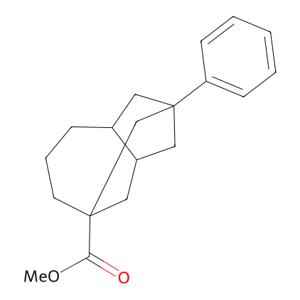 COC(=O)C12CCCC3CC(c4ccccc4)(CC3C1)C2